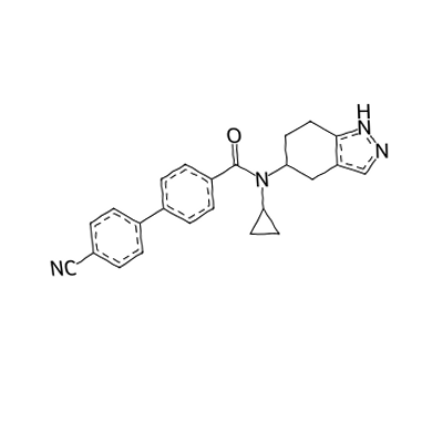 N#Cc1ccc(-c2ccc(C(=O)N(C3CC3)C3CCc4[nH]ncc4C3)cc2)cc1